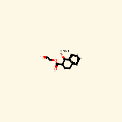 O=CCOC(=O)C1CCc2ccccc2C1=O.[NaH]